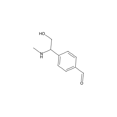 CNC(CO)c1ccc(C=O)cc1